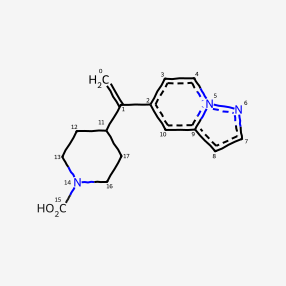 C=C(c1ccn2nccc2c1)C1CCN(C(=O)O)CC1